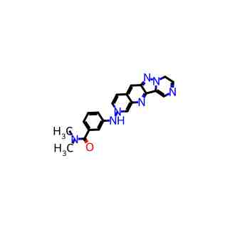 CN(C)C(=O)c1cccc(NN2C=Cc3cc4nn5c(c4nc3=C2)=CN=CC5)c1